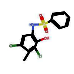 Cc1c(Cl)cc(NS(=O)(=O)c2ccccc2)c(O)c1Cl